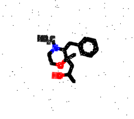 CC(O)CC1(C)OCCN(C(=O)O)C1Cc1ccccc1